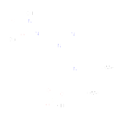 COc1cc(OC)cc(N(CCCOS(C)(=O)=O)c2ccc3ncc(-c4ccc(N(C)C(=O)OC(C)(C)C)nc4)nc3c2)c1